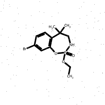 CCOP1(=O)NCC(C)(C)c2ccc(Br)cc2O1